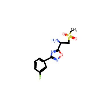 CS(=O)(=O)CC(N)c1nc(-c2cccc(F)c2)no1